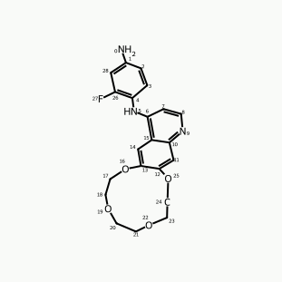 Nc1ccc(Nc2ccnc3cc4c(cc23)OCCOCCOCCO4)c(F)c1